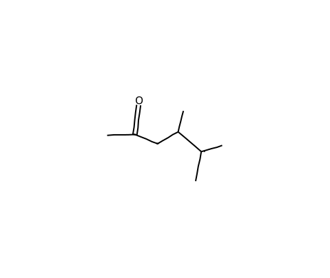 C[C](C)C(C)CC(C)=O